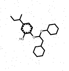 CCC(C)c1ccc(OC(CC2CCCCC2)OC2CCCCC2)c(O)c1